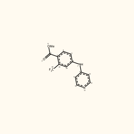 COC(=O)c1ccc(Nc2ccncc2)cc1C(F)(F)F